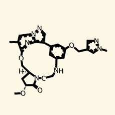 CO[C@@H]1C[C@H]2COc3nc4c(cnn4cc3C)-c3cc(cc(OCc4cnn(C)c4)c3)NCCN2C1=O